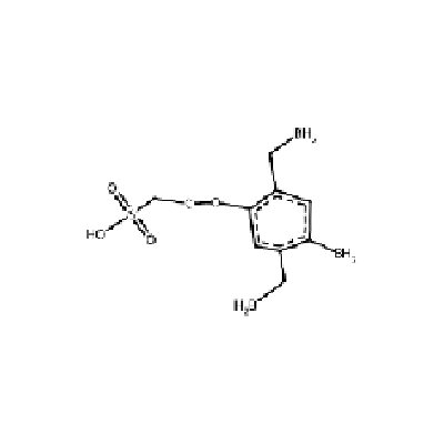 BCc1cc(OCCS(=O)(=O)O)c(CB)cc1B